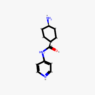 N[C@H]1CC[C@@H](C(=O)Nc2ccncc2)CC1